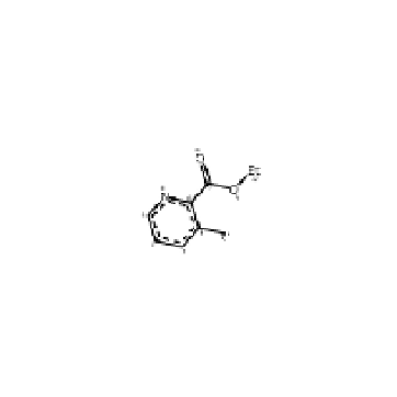 [CH2]c1cccnc1C(=O)OCC